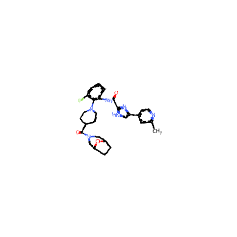 Cc1cc(-c2c[nH]c(C(=O)Nc3cccc(F)c3N3CCC(C(=O)N4CC5CCC(C4)O5)CC3)n2)ccn1